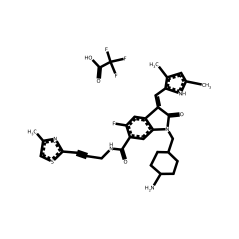 Cc1csc(C#CCNC(=O)c2cc3c(cc2F)/C(=C/c2[nH]c(C)cc2C)C(=O)N3CC2CCC(N)CC2)n1.O=C(O)C(F)(F)F